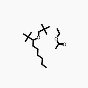 CCCCCCC(OCC(C)(C)C)C(C)(C)C.CCOC(C)=O